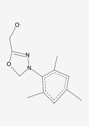 Cc1cc(C)c(N2COC(C[O])=N2)c(C)c1